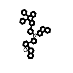 c1ccc(-c2c(-c3ccccc3)c3cc(-c4cccc(N(c5cccc(-c6cccc7oc8c9ccccc9ccc8c67)c5)c5ccc6c(ccc7ccccc76)c5)c4)ccc3c3ccccc23)cc1